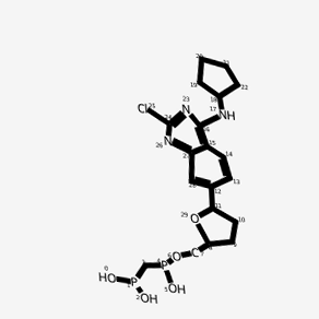 OP(O)CP(O)OCC1CCC(c2ccc3c(NC4CCCC4)nc(Cl)nc3c2)O1